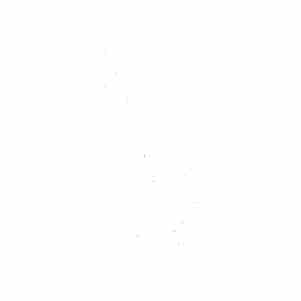 CC1(C)OB(CCCCC(C=O)N=C(c2ccccc2)c2ccccc2)OC1(C)C